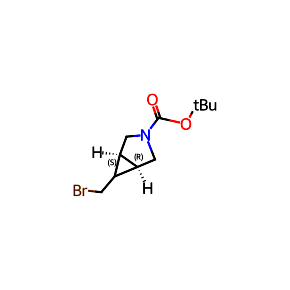 CC(C)(C)OC(=O)N1C[C@@H]2C(CBr)[C@@H]2C1